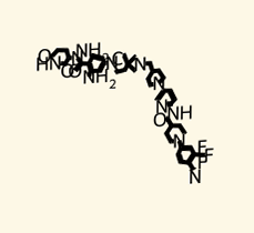 N#Cc1ccc(N2CCC(C(=O)Nc3ccc(N4CCC(CN5CC6(CCN(c7ccc(C(=O)N(N)C8CCC(=O)NC8=O)c(N)c7)CC6)C5)CC4)cn3)CC2)cc1C(F)(F)F